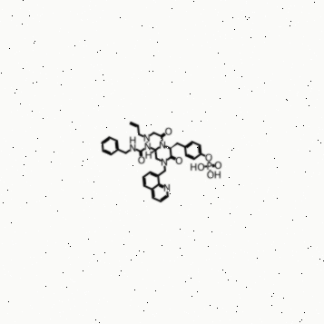 C=CCN1CC(=O)N2[C@@H](Cc3ccc(OP(=O)(O)O)cc3)C(=O)N(Cc3cccc4cccnc34)C[C@@H]2N1C(=O)NCc1ccccc1